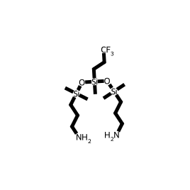 C[Si](C)(CCCN)O[Si](C)(CCC(F)(F)F)O[Si](C)(C)CCCN